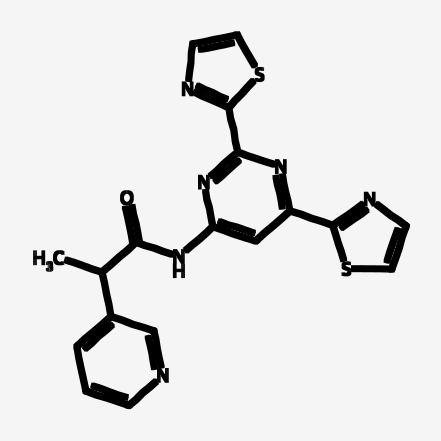 CC(C(=O)Nc1cc(-c2nccs2)nc(-c2nccs2)n1)c1cccnc1